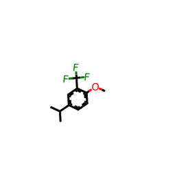 COc1ccc(C(C)C)cc1C(F)(F)F